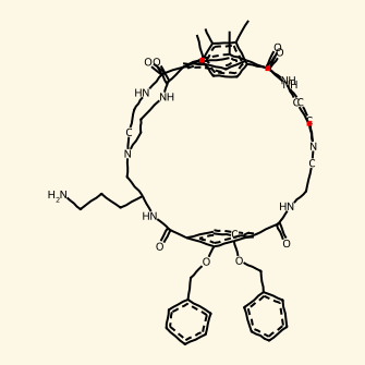 Cc1c2ccc(c1C)C(=O)NCCN1CCNC(=O)c3ccc(c(C)c3C)C(=O)NCCN(CCNC2=O)CCNC(=O)c2ccc(c(OCc3ccccc3)c2OCc2ccccc2)C(=O)NC(CCCN)C1